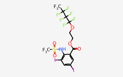 O=C(OCCOC(F)(F)C(F)(F)C(F)(F)C(F)(F)F)c1cc(I)cc(I)c1NS(=O)(=O)C(F)(F)F